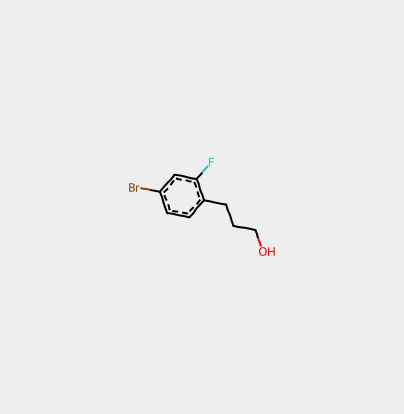 OCCCc1ccc(Br)cc1F